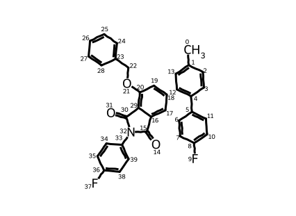 Cc1ccc(-c2ccc(F)cc2)cc1.O=C1c2cccc(OCc3ccccc3)c2C(=O)N1c1ccc(F)cc1